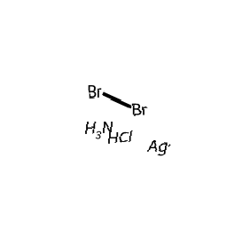 BrBr.Cl.N.[Ag]